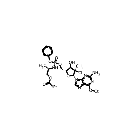 CCOc1nc(N)nc2c1ncn2[C@@H]1O[C@H](COP(=O)(N[C@H](C)COC(=O)C(C)C)Oc2ccccc2)[C@@H](O)[C@@]1(C)Cl